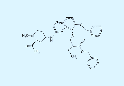 CCC(COc1c(OCc2ccccc2)ccc2ncc(N[C@H]3CCN(C)[C@H](C(C)=O)C3)cc12)C(=O)OCc1ccccc1